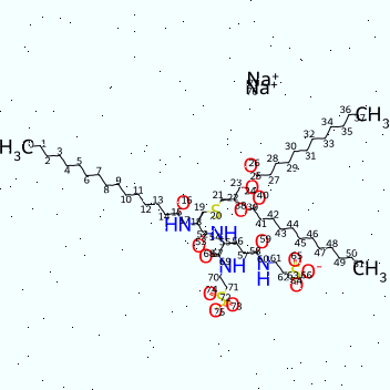 CCCCCCCCCCCCCCCC(=O)N[C@@H](CSC[C@@H](COC(=O)CCCCCCCCCCC)OC(=O)CCCCCCCCCCC)C(=O)N[C@@H](CCC(=O)NCCS(=O)(=O)[O-])C(=O)NCCS(=O)(=O)[O-].[Na+].[Na+]